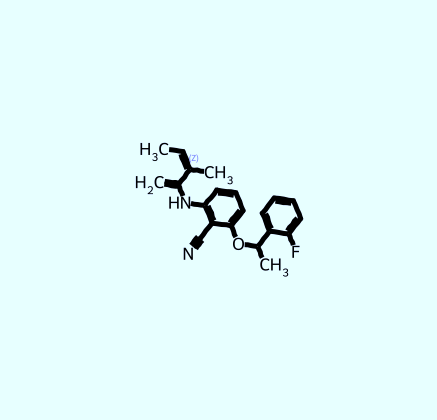 C=C(Nc1cccc(OC(C)c2ccccc2F)c1C#N)/C(C)=C\C